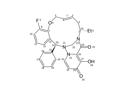 CC[C@H]1C/C=C/COc2c(F)cccc2[C@H](c2ccccc2)N2CN1C(=O)c1c(O)c(=O)ccn12